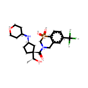 C[C@@H](O)[C@]1(C(=O)N2Cc3cc(C(F)(F)F)ccc3S(=O)(=O)C2)CC[C@@H](NC2CCOCC2)C1